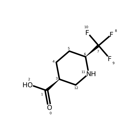 O=C(O)[C@H]1CC[C@@H](C(F)(F)F)NC1